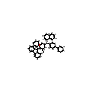 c1ccc(-c2ccc(N(c3ccc4c(c3)Oc3cccc5c3C4(c3ccccc3)c3ccccc3-5)c3cccc4ccccc34)cc2)cc1